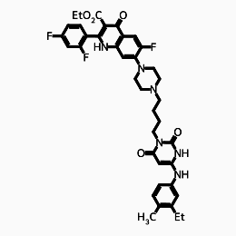 CCOC(=O)c1c(-c2ccc(F)cc2F)[nH]c2cc(N3CCN(CCCCn4c(=O)cc(Nc5ccc(C)c(CC)c5)[nH]c4=O)CC3)c(F)cc2c1=O